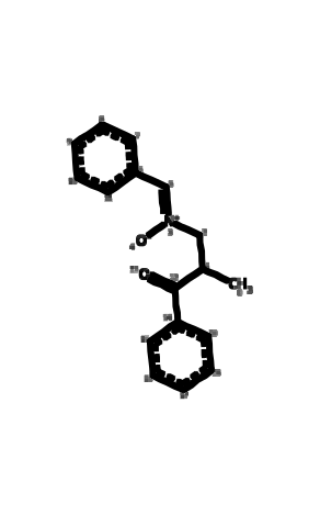 CC(C[N+]([O-])=Cc1ccccc1)C(=O)c1ccccc1